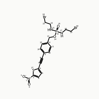 O=[N+]([O-])c1ccc(C#Cc2ccc(COP(=O)(NCCBr)NCCBr)cc2)s1